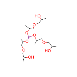 CC(O)COCC(C)OP(OC(C)COCC(C)O)OC(C)COCC(C)O